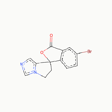 O=C1OC2(CCn3cncc32)c2ccc(Br)cc21